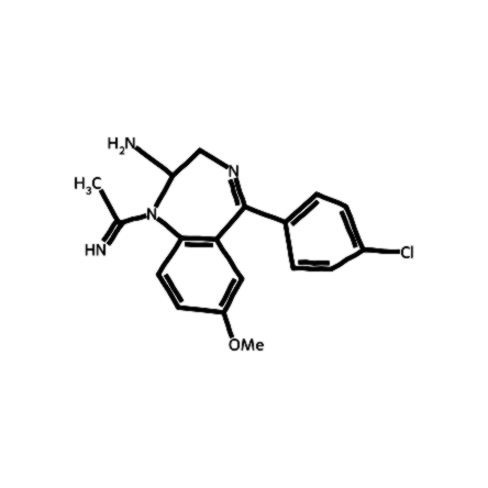 COc1ccc2c(c1)C(c1ccc(Cl)cc1)=NCC(N)N2C(C)=N